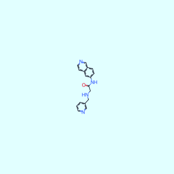 O=C(CNCc1cccnc1)Nc1ccc2cnccc2c1